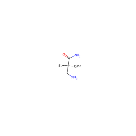 CCC(CN)(OC)C(N)=O